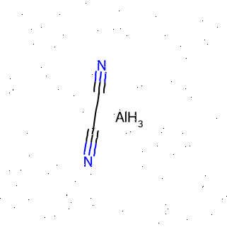 N#CC#N.[AlH3]